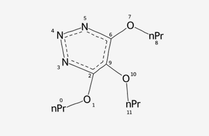 CCCOc1nnnc(OCCC)c1OCCC